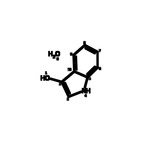 O.Oc1c[nH]c2ccccc12